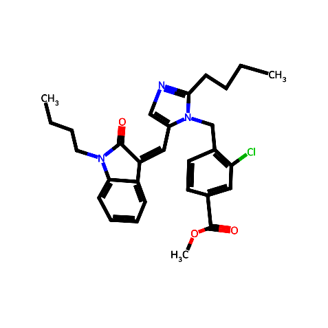 CCCCc1ncc(C=C2C(=O)N(CCCC)c3ccccc32)n1Cc1ccc(C(=O)OC)cc1Cl